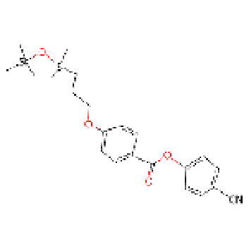 C[Si](C)(C)O[Si](C)(C)CCCOc1ccc(C(=O)Oc2ccc(C#N)cc2)cc1